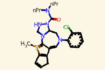 CCCN(CCC)C(=O)N1NCN2C3=S(C)C4=C(CC=C4)C3=CN(c3ccccc3Cl)CC21